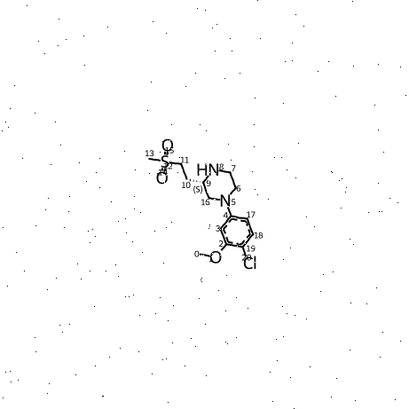 COc1cc(N2CCN[C@@H](CCS(C)(=O)=O)C2)ccc1Cl